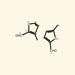 Cc1ccc(C=O)o1.Cc1ccoc1C=O